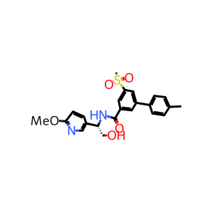 COc1ccc([C@@H](CO)NC(=O)c2cc(-c3ccc(C)cc3)cc(S(C)(=O)=O)c2)cn1